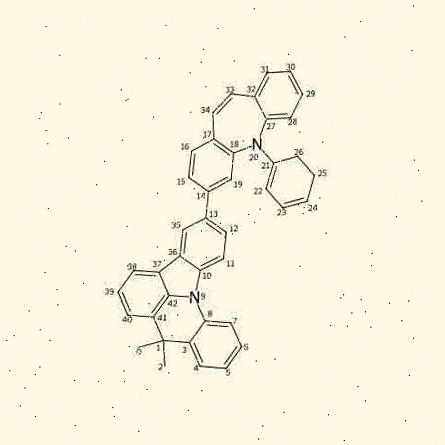 CC1(C)c2ccccc2-n2c3ccc(-c4ccc5c(c4)N(C4=CC=CCC4)c4ccccc4C=C5)cc3c3cccc1c32